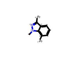 CC(C)c1nn(C)c2c(C(C)C)cccc12